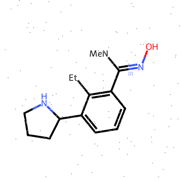 CCc1c(/C(=N/O)NC)cccc1C1CCCN1